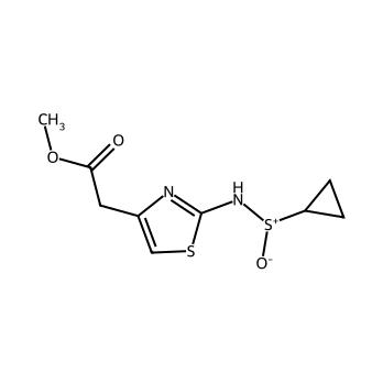 COC(=O)Cc1csc(N[S+]([O-])C2CC2)n1